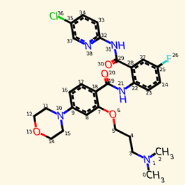 CN(C)CCCOc1cc(N2CCOCC2)ccc1C(=O)Nc1ccc(F)cc1C(=O)Nc1ccc(Cl)cn1